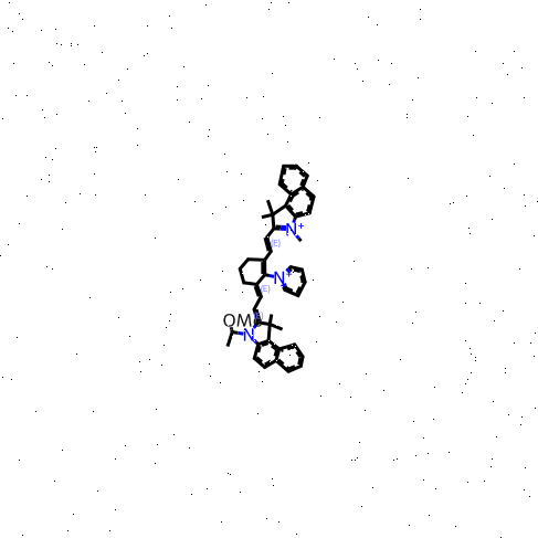 COC(C)N1/C(=C/C=C2\CCCC(/C=C/C3=[N+](C)c4ccc5ccccc5c4C3(C)C)=C2[n+]2ccccc2)C(C)(C)c2c1ccc1ccccc21